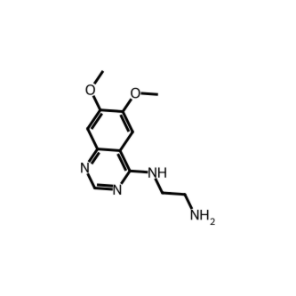 COc1cc2ncnc(NCCN)c2cc1OC